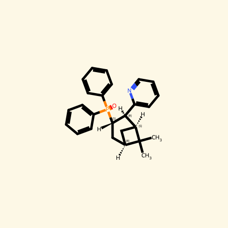 CC1(C)[C@@H]2C[C@H]1[C@H](c1ccccn1)[C@@H](P(=O)(c1ccccc1)c1ccccc1)C2